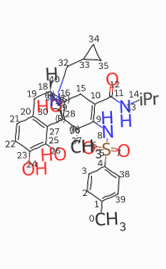 Cc1ccc(S(=O)(=O)NC2=C(C(=O)NC(C)C)C[C@@]3(O)[C@H]4Cc5ccc(O)c(O)c5[C@@]3(CCN4CC3CC3)[C@H]2C)cc1